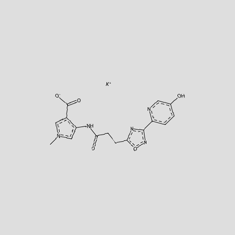 Cn1cc(NC(=O)CCc2nc(-c3ccc(O)cn3)no2)c(C(=O)[O-])c1.[K+]